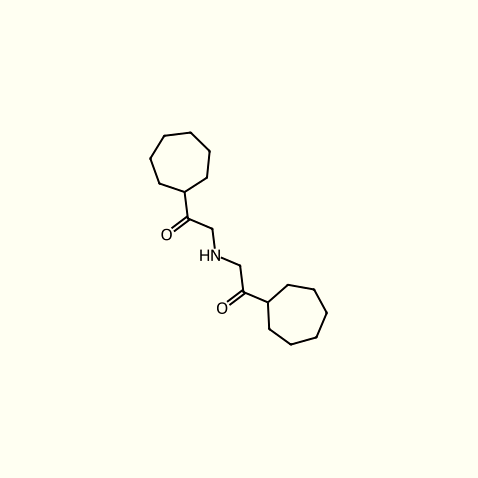 O=C(CNCC(=O)C1CCCCCC1)C1CCCCCC1